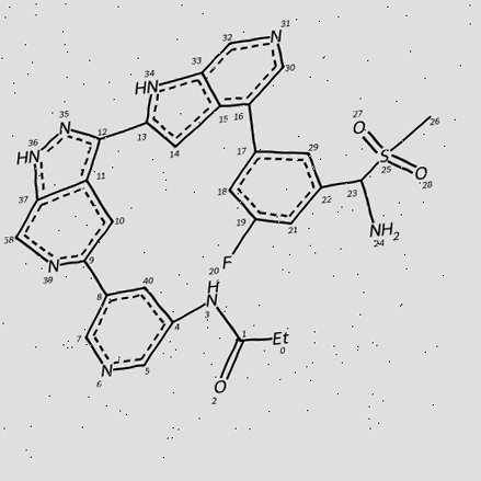 CCC(=O)Nc1cncc(-c2cc3c(-c4cc5c(-c6cc(F)cc(C(N)S(C)(=O)=O)c6)cncc5[nH]4)n[nH]c3cn2)c1